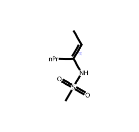 C/C=C(\CCC)NS(C)(=O)=O